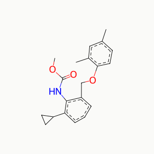 COC(=O)Nc1c(COc2ccc(C)cc2C)cccc1C1CC1